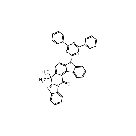 CC1(C)c2ccc3c(c2C(=O)n2c1nc1ccccc12)c1ccccc1n3-c1nc(-c2ccccc2)nc(-c2ccccc2)n1